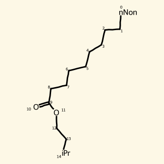 CCCCCCCCCCCCCCCCCC(=O)OCCC(C)C